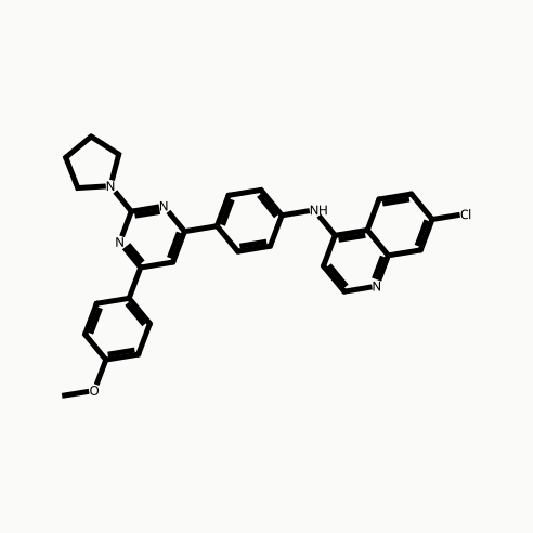 COc1ccc(-c2cc(-c3ccc(Nc4ccnc5cc(Cl)ccc45)cc3)nc(N3CCCC3)n2)cc1